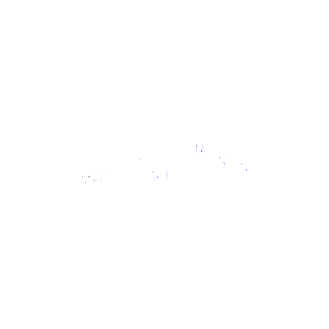 COc1ccc2cc(-c3ccc(-n4ccnc4)nc3)[nH]c2c1